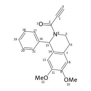 C#CC(=O)N1CCc2cc(OC)c(OC)cc2C1c1ccccc1